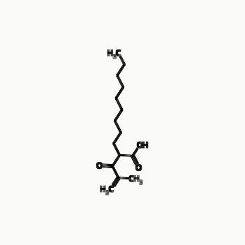 C=C(C)C(=O)C(CCCCCCCCC)C(=O)O